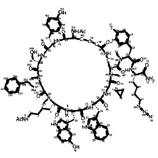 CC(=O)NCCCC[C@H]1C(=O)N[C@@H](Cc2c[nH]c3ccc(O)cc23)C(=O)N[C@@H](Cc2c[nH]c3ccccc23)C(=O)N[C@@H](C2CC2)C(=O)N(C)[C@H](C(=O)N(C)[C@@H](Cc2ccc(F)cc2)C(=O)N[C@@H](CCCCN=[N+]=[N-])C(N)=O)CNC(=O)COC[C@H](NC(C)=O)C(=O)N[C@@H](Cc2ccc(O)cc2)C(=O)N[C@@H](CO)C(=O)N(C)[C@@H](CCc2ccccc2)C(=O)N1C